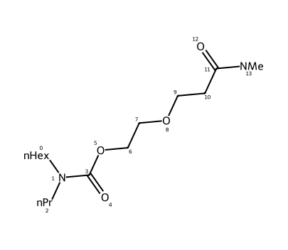 CCCCCCN(CCC)C(=O)OCCOCCC(=O)NC